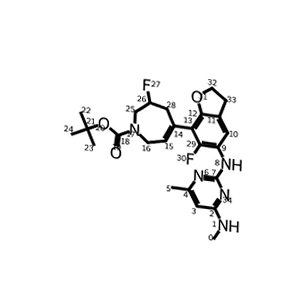 CNc1cc(C)nc(Nc2cc3c(c(C4=CCN(C(=O)OC(C)(C)C)CC(F)C4)c2F)OCC3)n1